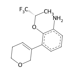 C[C@H](Oc1c(N)cccc1C1=CCCOC1)C(F)(F)F